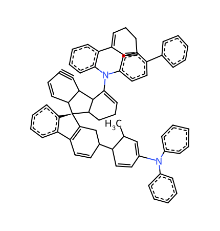 CC1C=C(N(c2ccccc2)c2ccccc2)C=CC1C1C=CC2=C(C1)[C@]1(c3ccccc32)C2C=CC#CC2C2C(N(c3ccc(-c4ccccc4)cc3)c3ccccc3C3=CCCC=C3)=CCCC21